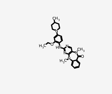 CCOc1cc(N2CCC(C)CC2)ccc1Nc1ncc2c(n1)N(C)c1ccccc1C(=O)N2C